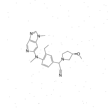 CCc1cc(C(C#N)N2CC[C@@H](OC)C2)ccc1N(C)c1cc2c(cn1)ncn2C